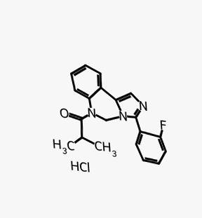 CC(C)C(=O)N1Cn2c(cnc2-c2ccccc2F)-c2ccccc21.Cl